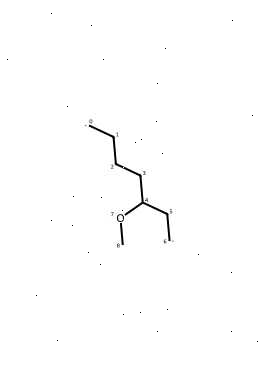 [CH2]CCCC(C[CH2])OC